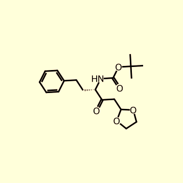 CC(C)(C)OC(=O)N[C@@H](CCc1ccccc1)C(=O)CC1OCCO1